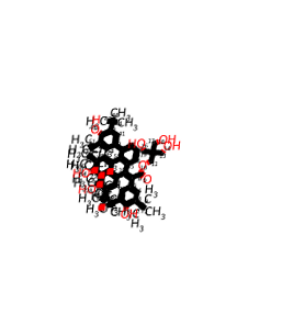 CC(C)(C)c1cc(C(C(=O)OCC(CO)(CO)CO)=C(c2cc(C(C)(C)C)c(O)c(C(C)(C)C)c2)c2cccc(-c3cc(C(C)(C)C)c(O)c(C(C)(C)C)c3)c2-c2cc(C(C)(C)C)c(O)c(C(C)(C)C)c2)cc(C(C)(C)C)c1O